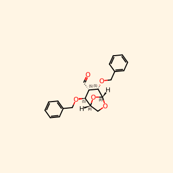 O=C[C@@H]1[C@H](OCc2ccccc2)[C@@H]2OC[C@@H](O2)[C@H]1OCc1ccccc1